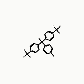 [CH2]C(c1ccc(C)cc1)(c1ccc(C(F)(F)F)cc1)c1ccc(C(F)(F)F)cc1